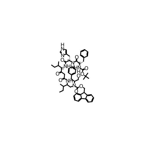 CCC(C)C(CN(C(=O)OCC1c2ccccc2-c2ccccc21)C(CO)Cc1ccccc1)NC(=O)CC(=O)[C@@H](NC(=O)[C@H](Cc1c[nH]cn1)NC(=O)[C@H](Cc1ccccc1)NC(=O)OC(C)(C)C)C(C)CC